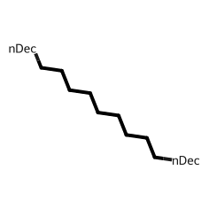 [CH2]CCCCCCCCCCCCCCCCCCCCCCCCCCCC